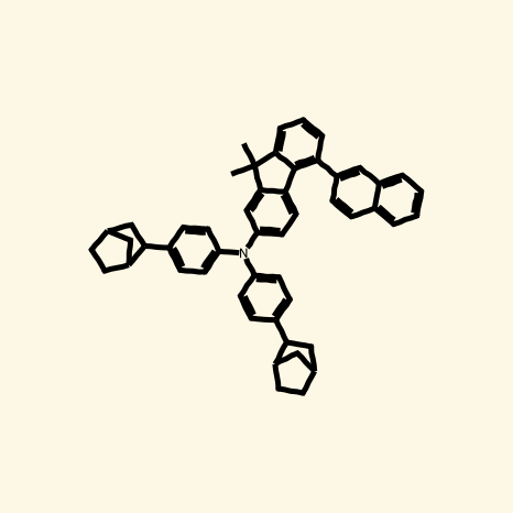 CC1(C)c2cc(N(c3ccc(C4CC5CCC4C5)cc3)c3ccc(C4CC5CCC4C5)cc3)ccc2-c2c(-c3ccc4ccccc4c3)cccc21